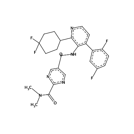 CN(C)C(=O)c1ncc(C(=O)Nc2c(-c3cc(F)ccc3F)ccnc2C2CCC(F)(F)CC2)cn1